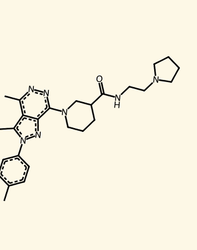 Cc1ccc(-n2nc3c(N4CCCC(C(=O)NCCN5CCCC5)C4)nnc(C)c3c2C)cc1